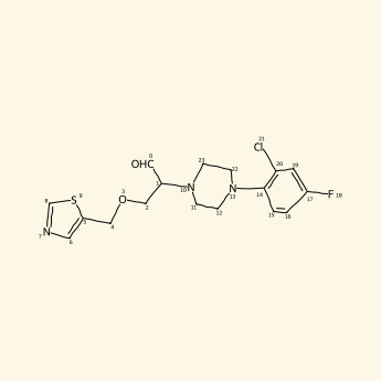 O=CC(COCc1cncs1)N1CCN(c2ccc(F)cc2Cl)CC1